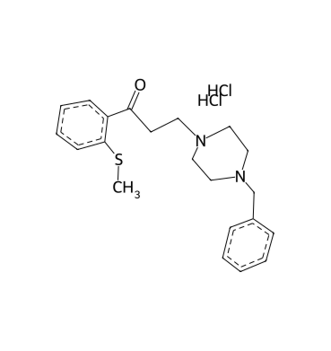 CSc1ccccc1C(=O)CCN1CCN(Cc2ccccc2)CC1.Cl.Cl